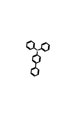 c1ccc(-c2ccc(P(c3ccccc3)c3ccccc3)cc2)cc1